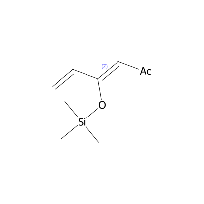 C=C/C(=C/C(C)=O)O[Si](C)(C)C